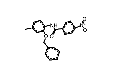 Cc1ccc(NC(=O)c2ccc([N+](=O)[O-])cc2)c(OCc2ccccc2)c1